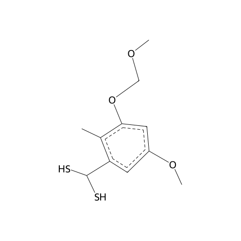 COCOc1cc(OC)cc(C(S)S)c1C